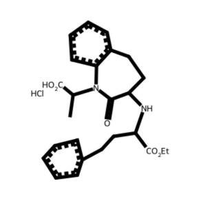 CCOC(=O)C(CCc1ccccc1)NC1CCc2ccccc2N(C(C)C(=O)O)C1=O.Cl